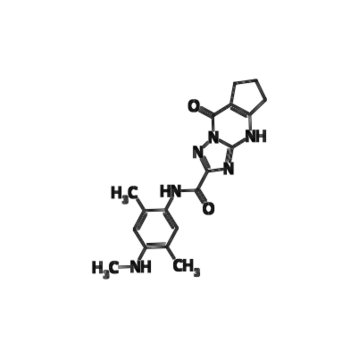 CNc1cc(C)c(NC(=O)c2nc3[nH]c4c(c(=O)n3n2)CCC4)cc1C